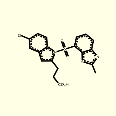 Cc1nc2cccc(S(=O)(=O)n3c(CCC(=O)O)cc4cc(Cl)ccc43)c2s1